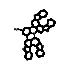 Cc1cc2c3c(c1)-c1cc4oc5ccccc5c4c4c1c(cc1oc5ccccc5c14)B3c1cc3oc4ccccc4c3c3c1c-2cc1oc2ccccc2c13